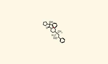 C[N+](C)(C[C@@H](O)c1ccccc1)C1CCN(C(=O)C(O)(c2ccccc2)C2CCCC2)CC1